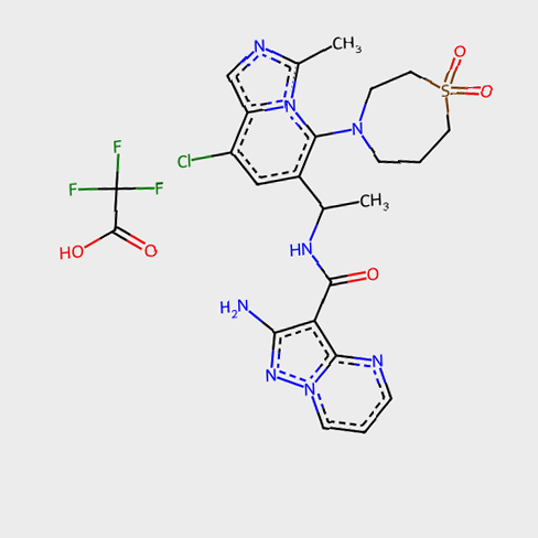 Cc1ncc2c(Cl)cc(C(C)NC(=O)c3c(N)nn4cccnc34)c(N3CCCS(=O)(=O)CC3)n12.O=C(O)C(F)(F)F